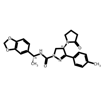 Cc1ccc(C2=NN(C(=O)N[C@H](C)c3ccc4c(c3)OCO4)C[C@H]2N2CCCC2=O)cc1